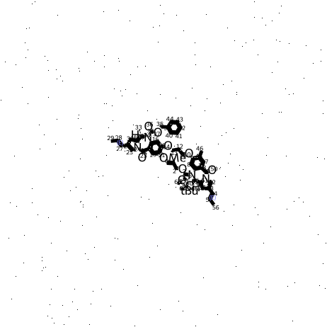 C=CCOC(=O)N1c2cc(OCCCOc3cc4c(cc3OC)C(=O)N3C=C(/C=C/C)C[C@H]3[C@H](C)N4C(=O)OCc3ccccc3)c(C)cc2C(=O)N2C=C(/C=C/C)C[C@H]2[C@@H]1O[Si](C)(C)C(C)(C)C